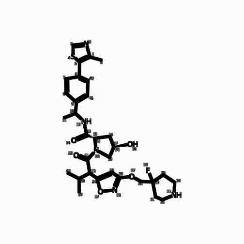 Cc1ncsc1-c1ccc(C(C)NC(=O)[C@@H]2C[C@@H](O)CN2C(=O)C(c2cc(OCC3(F)CCNCC3)no2)C(C)C)cc1